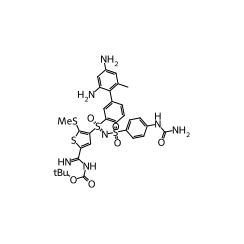 CSc1sc(C(=N)NC(=O)OC(C)(C)C)cc1S(=O)(=NS(=O)(=O)c1ccc(NC(N)=O)cc1)c1cccc(-c2c(C)cc(N)cc2N)c1